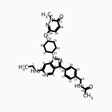 CCNc1cc2c(cn1)c(-c1ccc(CNC(C)=O)cc1)nn2[C@H]1CC[C@@H](Oc2ccc(=O)n(C)n2)CC1